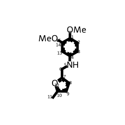 COc1ccc(NCc2ccc(C)o2)cc1OC